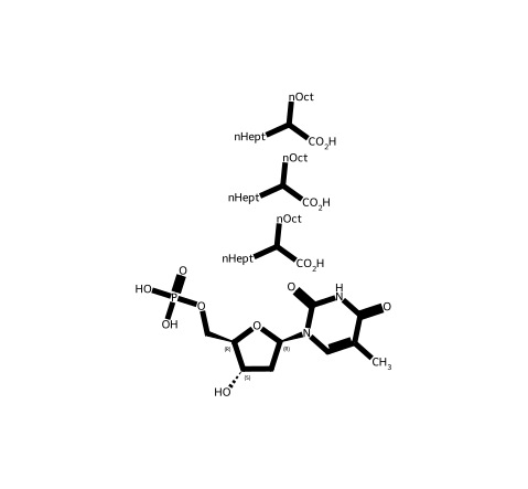 CCCCCCCCC(CCCCCCC)C(=O)O.CCCCCCCCC(CCCCCCC)C(=O)O.CCCCCCCCC(CCCCCCC)C(=O)O.Cc1cn([C@H]2C[C@H](O)[C@@H](COP(=O)(O)O)O2)c(=O)[nH]c1=O